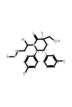 CCSNCC(C(C)C)N1C(=O)[C@@](C)(CC(=O)O)C[C@H](c2cccc(Cl)c2)[C@H]1c1ccc(Cl)cc1